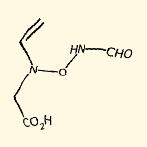 C=CN(CC(=O)O)ONC=O